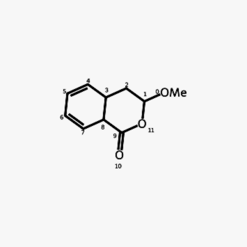 COC1CC2C=CC=CC2C(=O)O1